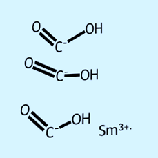 O=[C-]O.O=[C-]O.O=[C-]O.[Sm+3]